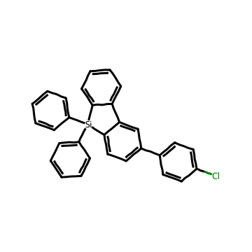 Clc1ccc(-c2ccc3c(c2)-c2ccccc2[Si]3(c2ccccc2)c2ccccc2)cc1